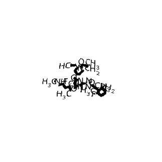 C#CC[C@@H]1C[C@@H](Oc2cc(O[C@@H](C)[C@@H](C)C[C@@H](F)CNC)nc(-c3noc(C(C)(C)c4c(F)cccc4P)n3)n2)CCN1C(=O)C(=C)C